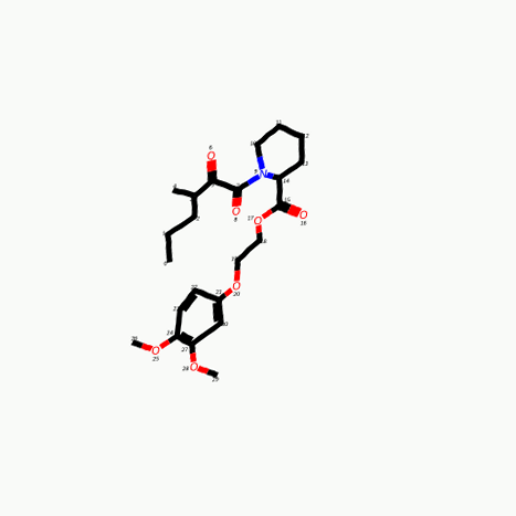 CCCC(C)C(=O)C(=O)N1CCCCC1C(=O)OCCOc1ccc(OC)c(OC)c1